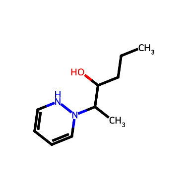 CCCC(O)C(C)N1C=CC=CN1